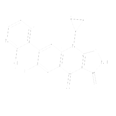 O=c1[nH]sc2c1c(=O)c1cc(F)c(-c3cccnc3Cl)cc1n2C1CC1